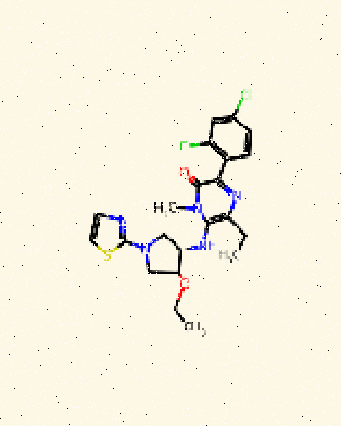 CCO[C@H]1CN(c2nccs2)C[C@H]1Nc1c(CC)nc(-c2ccc(Cl)cc2Cl)c(=O)n1C